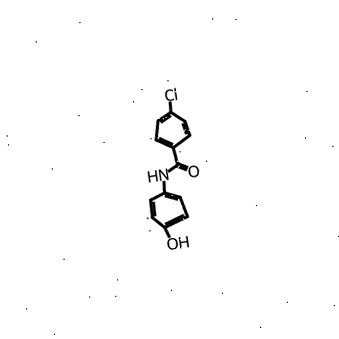 O=C(Nc1c[c]c(O)cc1)c1ccc(Cl)cc1